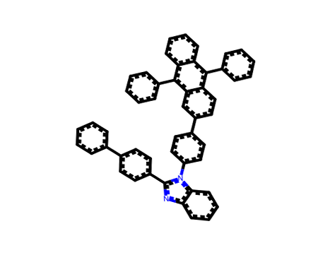 c1ccc(-c2ccc(-c3nc4ccccc4n3-c3ccc(-c4ccc5c(-c6ccccc6)c6ccccc6c(-c6ccccc6)c5c4)cc3)cc2)cc1